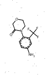 Nc1ccc(N2CCOCC2=O)c(C(F)(F)F)c1